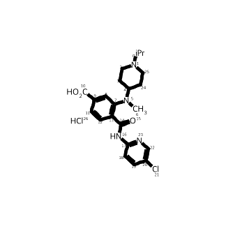 CC(C)N1CCC(N(C)c2cc(C(=O)O)ccc2C(=O)Nc2ccc(Cl)cn2)CC1.Cl